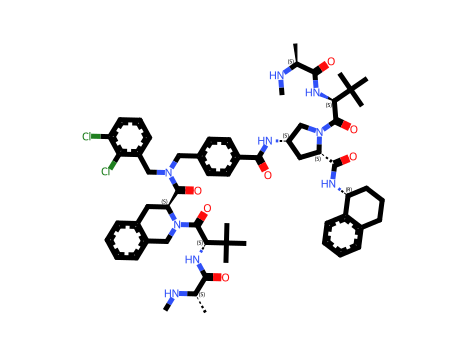 CN[C@@H](C)C(=O)N[C@H](C(=O)N1C[C@@H](NC(=O)c2ccc(CN(Cc3cccc(Cl)c3Cl)C(=O)[C@@H]3Cc4ccccc4CN3C(=O)[C@@H](NC(=O)[C@H](C)NC)C(C)(C)C)cc2)C[C@H]1C(=O)N[C@@H]1CCCc2ccccc21)C(C)(C)C